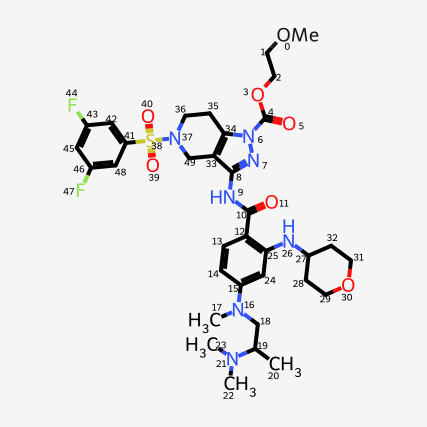 COCCOC(=O)n1nc(NC(=O)c2ccc(N(C)CC(C)N(C)C)cc2NC2CCOCC2)c2c1CCN(S(=O)(=O)c1cc(F)cc(F)c1)C2